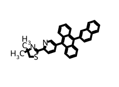 CC1(C)CSC(c2ccc(-c3c4ccccc4c(-c4ccc5ccccc5c4)c4ccccc34)cn2)=N1